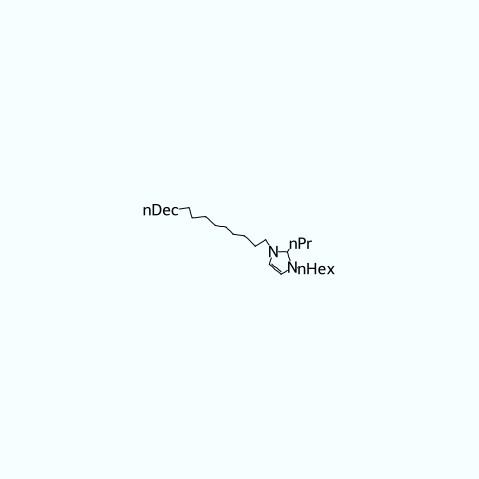 CCCCCCCCCCCCCCCCCCCN1C=CN(CCCCCC)C1CCC